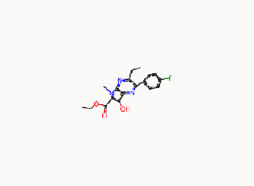 CCOC(=O)c1c(O)c2nc(-c3ccc(F)cc3)c(CC)nc2n1C